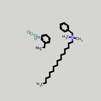 CCCCCCCCCCCCCCCC[N+](C)(C)Cc1ccccc1.Cl.N.[Cl-].[Cl-].[Mg+][CH2]c1ccccc1